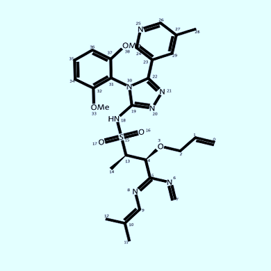 C=CCO[C@@H](/C(N=C)=N/C=C(C)C)[C@@H](C)S(=O)(=O)Nc1nnc(-c2cncc(C)c2)n1-c1c(OC)cccc1OC